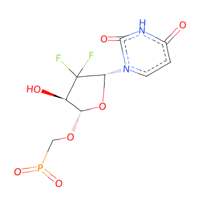 O=c1ccn([C@@H]2O[C@H](OCP(=O)=O)[C@@H](O)C2(F)F)c(=O)[nH]1